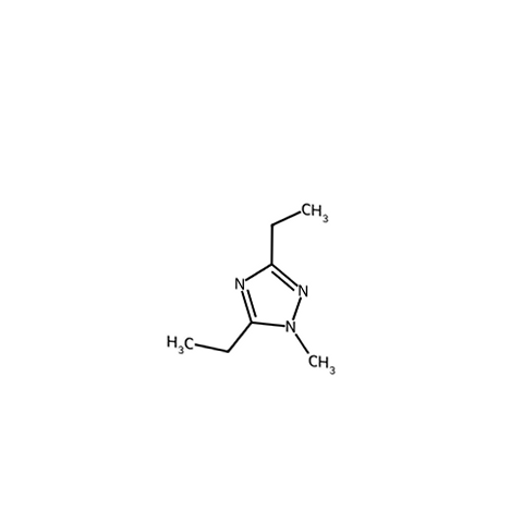 CCc1nc(CC)n(C)n1